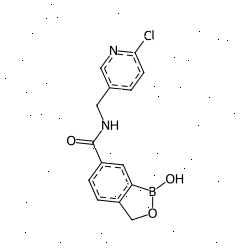 O=C(NCc1ccc(Cl)nc1)c1ccc2c(c1)B(O)OC2